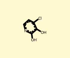 Oc1nccc(Cl)c1O